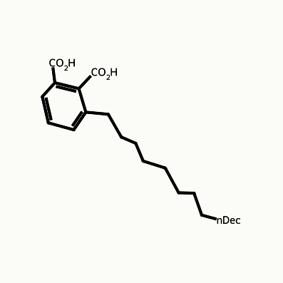 CCCCCCCCCCCCCCCCCCc1cccc(C(=O)O)c1C(=O)O